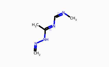 C=NN/C(C)=N/C=N\C